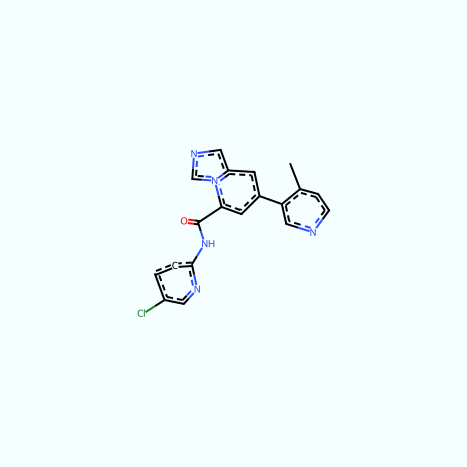 Cc1ccncc1-c1cc(C(=O)Nc2ccc(Cl)cn2)n2cncc2c1